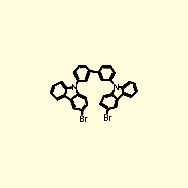 Brc1ccc2c(c1)c1ccccc1n2-c1cccc(-c2cccc(-n3c4ccccc4c4cc(Br)ccc43)c2)c1